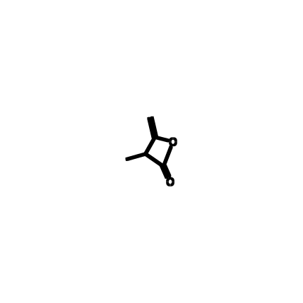 C=C1OC(=O)C1C